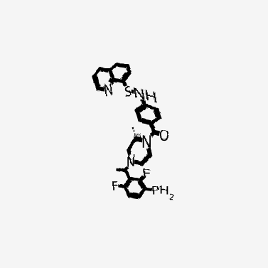 CC(c1c(F)ccc(P)c1F)N1CCN(C(=O)c2ccc(NSc3cccc4cccnc34)cc2)[C@@H](C)C1